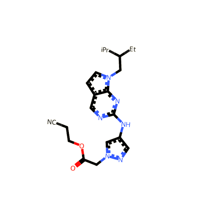 CCC(Cn1ccc2cnc(Nc3cnn(CC(=O)OCCC#N)c3)nc21)C(C)C